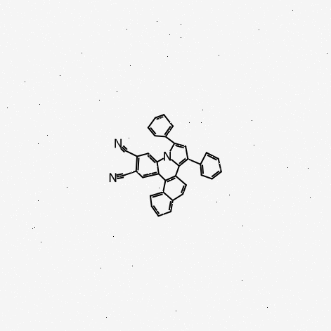 N#Cc1cc2c3c4ccccc4ccc3c3c(-c4ccccc4)cc(-c4ccccc4)n3c2cc1C#N